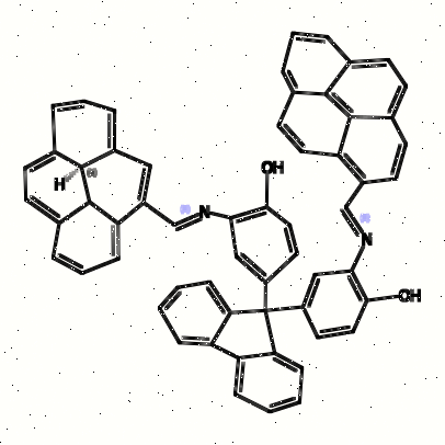 Oc1ccc(C2(c3ccc(O)c(/N=C/c4ccc5ccc6cccc7ccc4c5c67)c3)c3ccccc3-c3ccccc32)cc1/N=C/C1=CC2=CC=CC3=CC=C4C=CC=C1C4[C@@H]32